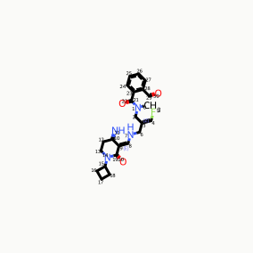 CN(C/C(=C\F)CN/C=C1\C(=N)CCN(C2CCC2)C1=O)C(=O)c1ccccc1C=O